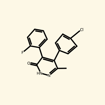 Cc1n[nH]c(=O)c(-c2ccccc2F)c1-c1ccc(Cl)cc1